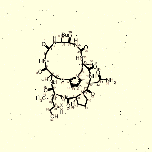 CC[C@H](C)[C@@H]1NC(=O)CNC(=O)[C@@H]2CSc3c4ccccc4cn3C[C@H](NC(=O)NC1=O)C(=O)N[C@@H](CC(N)=O)C(=O)N1CCC[C@H]1C(=O)N[C@@H]([C@@H](C)[C@@H](O)CO)C(=O)N2